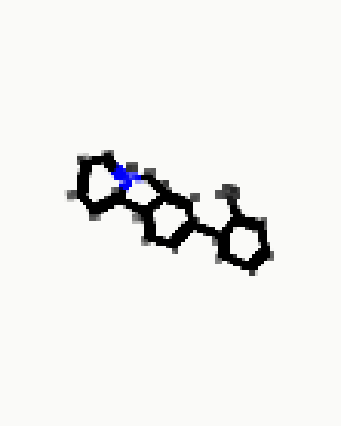 CCc1ccccc1-c1ccc2c(c1)C[n+]1ccccc1-2